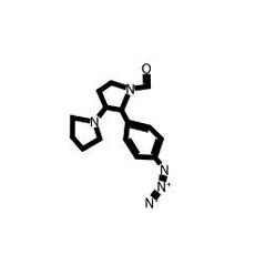 [N-]=[N+]=Nc1ccc(C2C(N3CCCC3)CCN2C=O)cc1